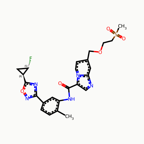 Cc1ccc(-c2noc([C@H]3C[C@@H]3F)n2)cc1NC(=O)c1cnc2cc(COCCS(C)(=O)=O)ccn12